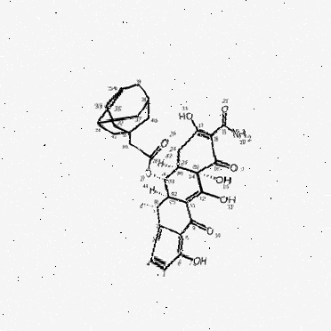 C[C@H]1c2cccc(O)c2C(=O)C2=C(O)[C@]3(O)C(=O)C(C(N)=O)=C(O)C[C@@H]3[C@@H](OC(=O)CC34CCC5CC(CC(C5)C3)C4)[C@@H]21